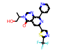 CC(CO)n1cnc2c(-c3cccnc3)nc(-c3cnc(C(F)(F)F)s3)cc2c1=O